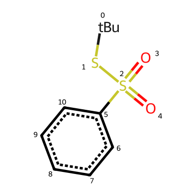 CC(C)(C)SS(=O)(=O)c1ccccc1